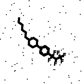 CCCCCCC1CCC(c2ccc(C(F)(F)C(F)C(F)(F)F)cc2)CC1